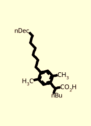 CCCCCCCCCCCCCCCCc1cc(C)c(C(CCCC)C(=O)O)cc1C